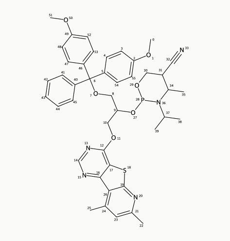 COc1ccc(C(OCC(COc2ncnc3c2sc2nc(C)cc(C)c23)OP2OCC(C#N)C(C)N2C(C)C)(c2ccccc2)c2ccc(OC)cc2)cc1